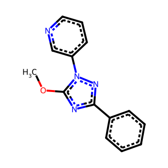 COc1nc(-c2ccccc2)nn1-c1cccnc1